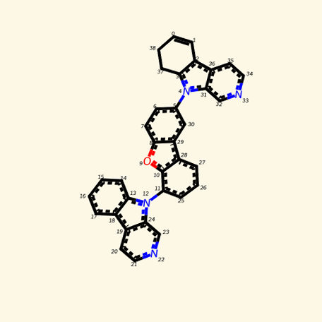 C1=Cc2c(n(-c3ccc4oc5c(-n6c7ccccc7c7ccncc76)cccc5c4c3)c3cnccc23)CC1